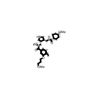 COCCCOc1cc(C(=O)N(C[C@@H]2CNC[C@H]2CNC(=O)[C@H]2CC[C@@H](OC)CC2)C(C)C)ccc1C